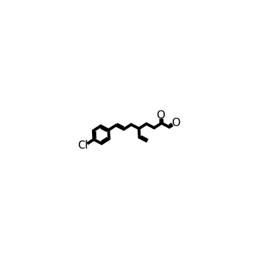 C=CC(CC=Cc1ccc(Cl)cc1)CCC(=O)C=O